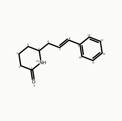 O=C1CCCC(CC=Cc2ccccc2)N1